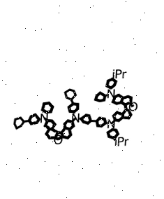 CC(C)c1ccc(N(c2ccccc2)c2ccc3c(ccc4oc5ccc6cc(N(c7ccc(-c8ccc(N(c9ccc(C%10CCCCC%10)cc9)c9ccc%10c(ccc%11oc%12ccc%13cc(N(c%14ccccc%14)c%14ccc(C%15CCCCC%15)cc%14)ccc%13c%12c%11%10)c9)cc8)cc7)c7ccc(C(C)C)cc7)ccc6c5c43)c2)cc1